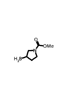 BC1CCN(C(=O)OC)C1